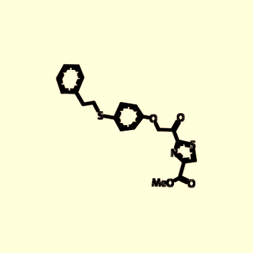 COC(=O)c1csc(C(=O)COc2ccc(SCCc3ccccc3)cc2)n1